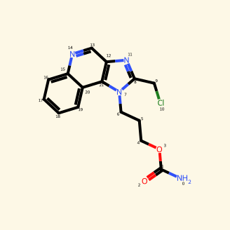 NC(=O)OCCCn1c(CCl)nc2cnc3ccccc3c21